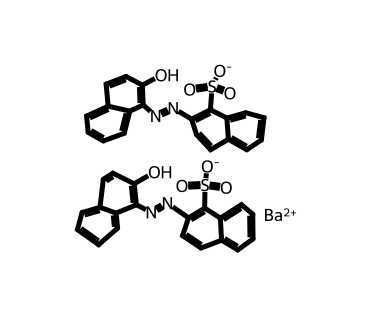 O=S(=O)([O-])c1c(/N=N/c2c(O)ccc3ccccc23)ccc2ccccc12.O=S(=O)([O-])c1c(/N=N/c2c(O)ccc3ccccc23)ccc2ccccc12.[Ba+2]